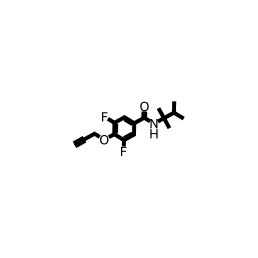 C#CCOc1c(F)cc(C(=O)NC(C)(C)C(C)C)cc1F